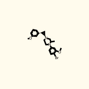 COc1cccc([C@@H]2C[C@H]2N2CCN(c3ccc(Br)c(OC)c3)C(C)C2)c1